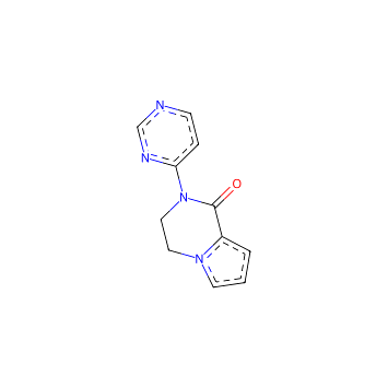 O=C1c2cccn2CCN1c1ccncn1